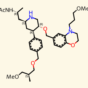 COCCCN1CCOc2ccc(CO[C@H]3CN[C@H](C[C@@H](C)NC(C)=O)C[C@@H]3c3ccc(COC[C@@H](C)COC)cc3)cc21